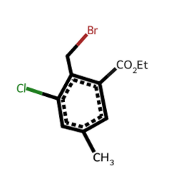 CCOC(=O)c1cc(C)cc(Cl)c1CBr